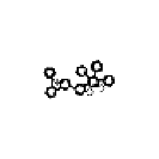 C1=CC2Oc3c(c(-c4ccccc4)c(-c4ccccc4)c4c3oc3ccccc34)C2C=C1c1ccc2c(c1)c1ccccc1n2-c1ccccc1